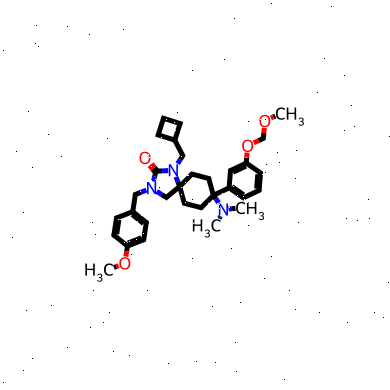 COCOc1cccc(C2(N(C)C)CCC3(CC2)CN(Cc2ccc(OC)cc2)C(=O)N3CC2CCC2)c1